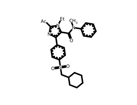 CCn1c(C(C)=O)nc(-c2ccc(S(=O)(=O)CC3CCCCC3)cc2)c1C(=O)N(C)c1ccccc1